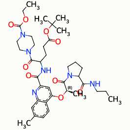 CCCNC(=O)C1CCCN1C(=O)[C@@H](C)Oc1cc(C(=O)NC(CCC(=O)OC(C)(C)C)C(=O)N2CCN(C(=O)OCC)CC2)nc2cc(C)ccc12